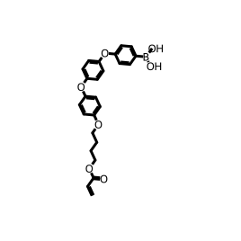 C=CC(=O)OCCCCOc1ccc(Oc2ccc(Oc3ccc(B(O)O)cc3)cc2)cc1